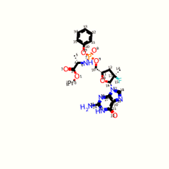 CC(C)OC(=O)[C@H](C)NP(=O)(OC[C@@H]1C[C@@](C)(F)[C@H](n2cnc3c(=O)[nH]c(N)nc32)O1)Oc1ccccc1